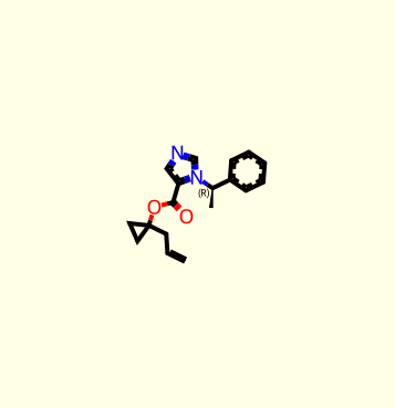 C=CCC1(OC(=O)c2cncn2[C@H](C)c2ccccc2)CC1